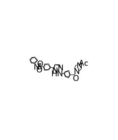 CC(=O)N1CCN(C(=O)c2ccc(Nc3nccc(-c4ccc(S(=O)(=O)N(C)c5ccccc5)cc4)n3)cc2)CC1